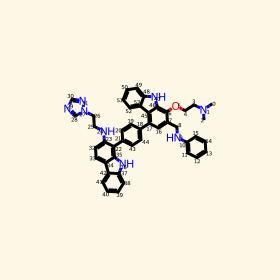 CN(C)CCOc1c(CNc2ccccc2)cc(-c2ccc(-c3c(NCCn4cncn4)ccc4c3[nH]c3ccccc34)cc2)c2c1[nH]c1ccccc12